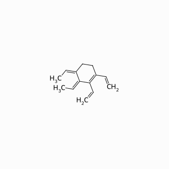 C=CC1=C(C=C)C(=C/C)/C(=C\C)CC1